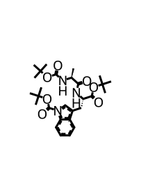 C[C@H](NC(=O)OC(C)(C)C)C(=O)N[C@@H](Cc1cn(C(=O)OC(C)(C)C)c2ccccc12)C(=O)OC(C)(C)C